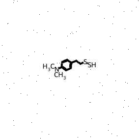 CN(C)c1ccc(CCSS)cc1